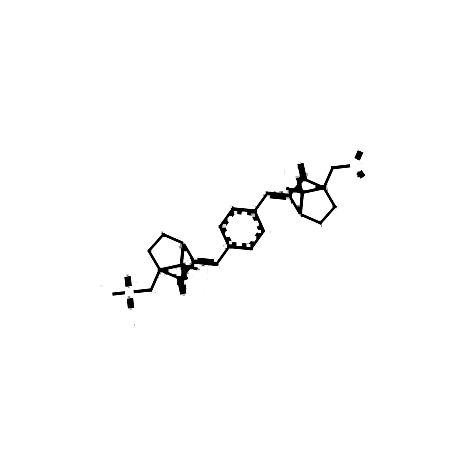 CC1(C)C2CCC1(C[SH](=O)=O)C(=O)/C2=C/c1ccc(/C=C2/C(=O)C3(CS(C)(=O)=O)CCC2C3(C)C)cc1